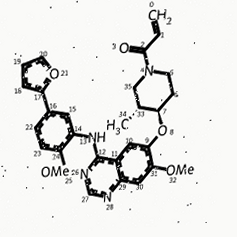 C=CC(=O)N1CC[C@@H](Oc2cc3c(Nc4cc(-c5ccco5)ccc4OC)ncnc3cc2OC)[C@H](C)C1